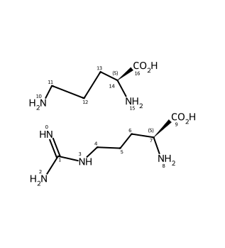 N=C(N)NCCC[C@H](N)C(=O)O.NCCC[C@H](N)C(=O)O